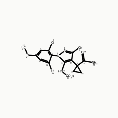 N#Cc1nn(-c2c(Cl)cc(OC(F)(F)F)cc2Cl)c(NC(=O)O)c1C1(C(N)=O)CC1